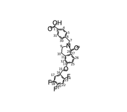 O=C(O)c1ccc(CN2CCc3cc(OCc4cc(F)c(F)cc4F)ccc3C2=O)cc1